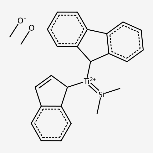 C[O-].C[O-].C[Si](C)=[Ti+2]([CH]1C=Cc2ccccc21)[CH]1c2ccccc2-c2ccccc21